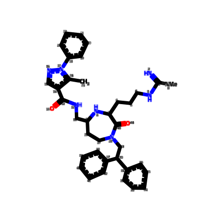 CNC(=N)NCCCC1NC(CNC(=O)c2cnn(-c3ccccc3)c2C)CCN(CC(c2ccccc2)c2ccccc2)C1=O